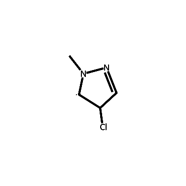 CN1[CH]C(Cl)C=N1